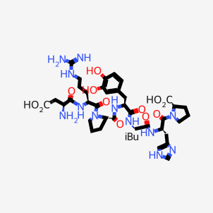 CC[C@H](C)[C@H](NC(=O)[C@H](Cc1ccc(O)c(O)c1)NC(=O)[C@@H]1CCCN1C(=O)[C@H](CCCNC(=N)N)NC(=O)[C@@H](N)CC(=O)O)C(=O)N[C@@H](Cc1c[nH]cn1)C(=O)N1CCC[C@H]1C(=O)O